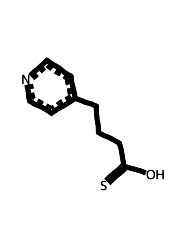 OC(=S)CCCc1ccncc1